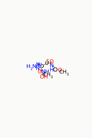 COc1cccc(CNC(=O)c2cc(-c3cc(C(=O)N[C@@H](C)CO)c4nc(N)nn4c3)cs2)c1